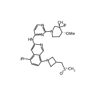 CO[C@@H]1CCN(c2nccc(Nc3cc4c(C(C)C)ccc(N5CC(C[S@+](C)[O-])C5)c4cn3)n2)C[C@]1(C)F